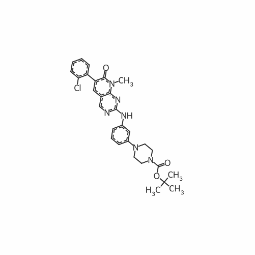 Cn1c(=O)c(-c2ccccc2Cl)cc2cnc(Nc3cccc(N4CCN(C(=O)OC(C)(C)C)CC4)c3)nc21